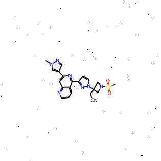 Cn1cc(-c2cc3ncccc3c(-c3ccn(C4(CC#N)CN(S(C)(=O)=O)C4)n3)n2)cn1